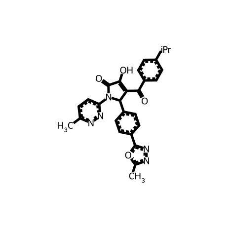 Cc1ccc(N2C(=O)C(O)=C(C(=O)c3ccc(C(C)C)cc3)C2c2ccc(-c3nnc(C)o3)cc2)nn1